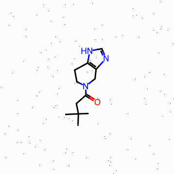 CC(C)(C)CC(=O)N1CCc2[nH]cnc2C1